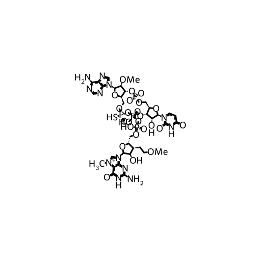 COCC[C@@H]1[C@@H](COP(=O)(O)OP(=O)(O)OP(=O)(S)OC[C@H]2O[C@@H](n3cnc4c(N)ncnc43)[C@H](OC)[C@@H]2OP(=O)([O-])OC[C@H]2O[C@@H](n3ccc(=O)[nH]c3=O)[C@H](O)[C@@H]2O)OC(n2c[n+](C)c3c(=O)[nH]c(N)nc32)[C@@H]1O